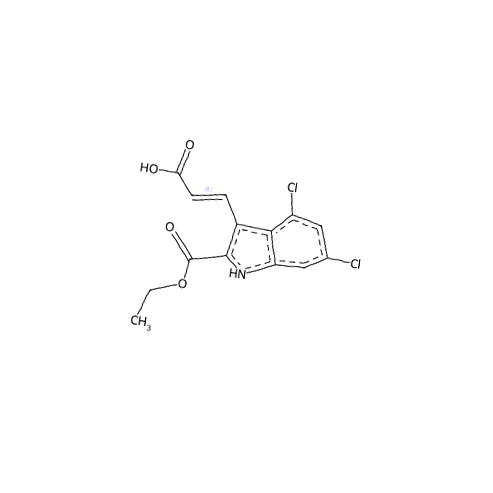 CCOC(=O)c1[nH]c2cc(Cl)cc(Cl)c2c1/C=C/C(=O)O